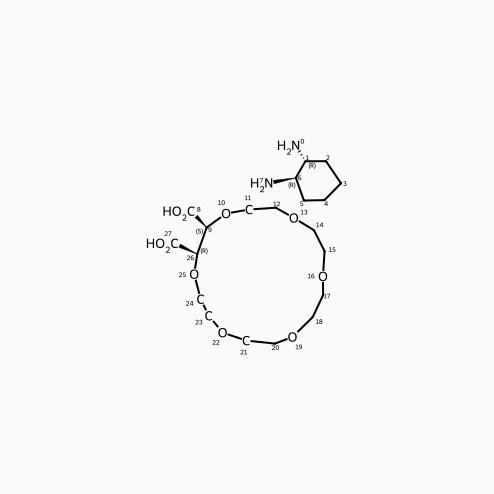 N[C@@H]1CCCC[C@H]1N.O=C(O)[C@H]1OCCOCCOCCOCCOCCO[C@H]1C(=O)O